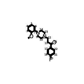 COc1ccccc1N1CCN(CCC(=O)c2ccc(F)cc2)CC1